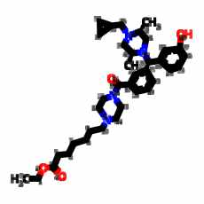 CCOC(=O)CCCCCCN1CCN(C(=O)c2cccc([C@H](c3cccc(O)c3)N3C[C@@H](C)N(CC4CC4)C[C@@H]3C)c2)CC1